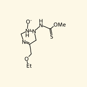 CCOCC1=NC[NH+]([O-])N(NC(=S)OC)C1